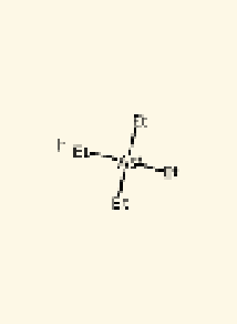 CC[As+](CC)(CC)CC.[I-]